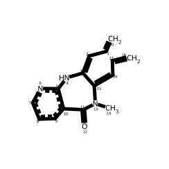 C=C/C=C1/Nc2ncccc2C(=O)N(C)/C1=C/C=C